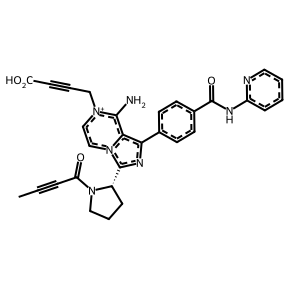 CC#CC(=O)N1CCC[C@H]1c1nc(-c2ccc(C(=O)Nc3ccccn3)cc2)c2c(N)[n+](CC#CC(=O)O)ccn12